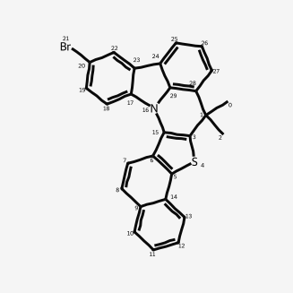 CC1(C)c2sc3c(ccc4ccccc43)c2-n2c3ccc(Br)cc3c3cccc1c32